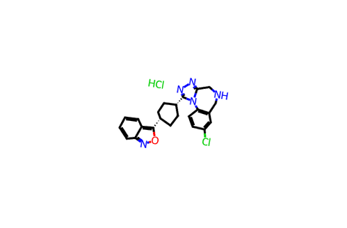 Cl.Clc1ccc2c(c1)CNCc1nnc([C@H]3CC[C@@H](c4onc5ccccc54)CC3)n1-2